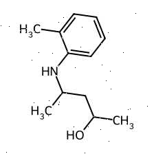 Cc1ccccc1NC(C)CC(C)O